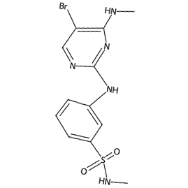 CNc1nc(Nc2cccc(S(=O)(=O)NC)c2)ncc1Br